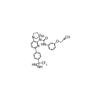 C#CCOc1cccc(NC(=O)N2c3nc(-c4ccc(C5(C(F)(F)F)NN5)cc4)ccc3N3CC[C@H]2C3)c1